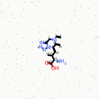 C=CN(Cc1nnn[nH]1)C(=C)C=CC(C)[C@H](N)C(=O)O